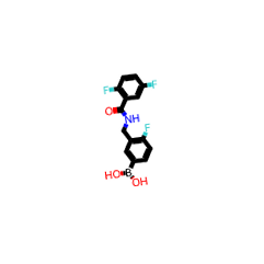 O=C(NCc1cc(B(O)O)ccc1F)c1cc(F)ccc1F